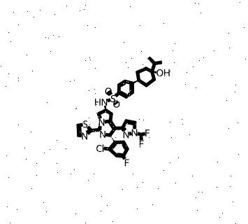 CC(C)[C@]1(O)CC[C@@H](c2ccc(S(=O)(=O)N[C@H]3CC4=C(c5ccn(C(F)F)n5)[C@H](c5ccc(F)cc5Cl)N=C(c5nccs5)N4C3)cc2)CC1